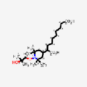 CC(C)(O)CON1C(C)(C)CC(C(CCCCCCCC(=O)O)C(=O)O)CC1(C)C